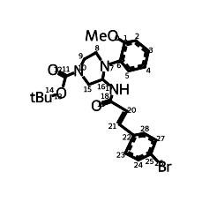 COc1ccccc1N1CCN(C(=O)OC(C)(C)C)CC1NC(=O)C=Cc1ccc(Br)cc1